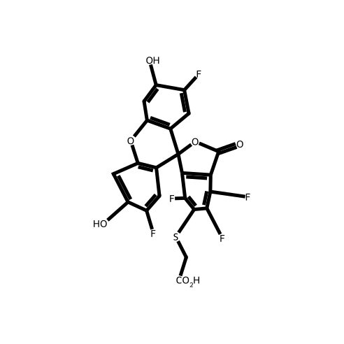 O=C(O)CSc1c(F)c(F)c2c(c1F)C1(OC2=O)c2cc(F)c(O)cc2Oc2cc(O)c(F)cc21